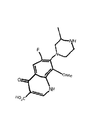 COc1c(N2CCNC(C)C2)c(F)cc2c(=O)c(C(=O)O)c[nH]c12